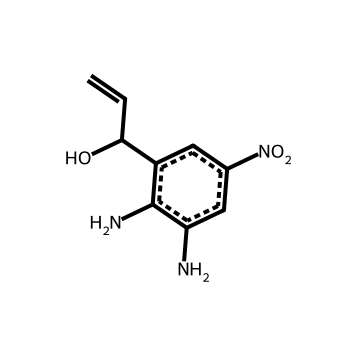 C=CC(O)c1cc([N+](=O)[O-])cc(N)c1N